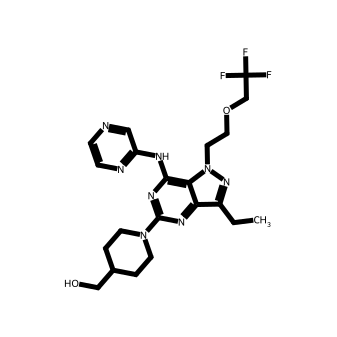 CCc1nn(CCOCC(F)(F)F)c2c(Nc3cnccn3)nc(N3CCC(CO)CC3)nc12